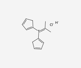 C[C](C)=[Ti]([C]1=CC=CC1)[C]1=CC=CC1.[Cl-].[H-]